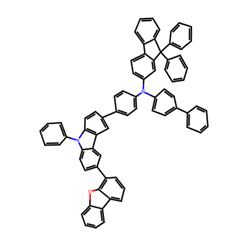 c1ccc(-c2ccc(N(c3ccc(-c4ccc5c(c4)c4cc(-c6cccc7c6oc6ccccc67)ccc4n5-c4ccccc4)cc3)c3ccc4c(c3)C(c3ccccc3)(c3ccccc3)c3ccccc3-4)cc2)cc1